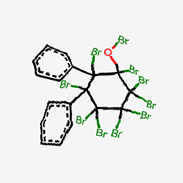 BrOC1(Br)C(Br)(Br)C(Br)(Br)C(Br)(Br)C(Br)(c2ccccc2)C1(Br)c1ccccc1